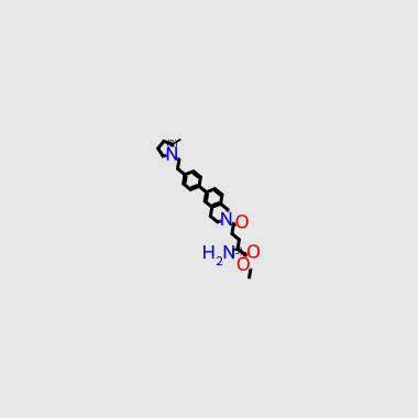 CCOC(=O)[C@@H](N)CCC(=O)N1CCc2cc(-c3ccc(CCN4CCC[C@H]4C)cc3)ccc2C1